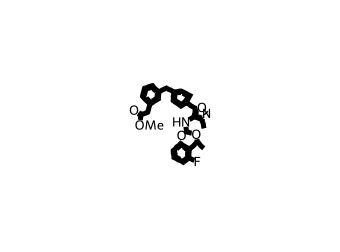 COC(=O)Cc1cccc(Cc2ccc(-c3onc(C)c3NC(=O)OC(C)c3ccccc3F)cc2)c1